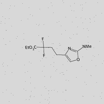 CCOC(=O)C(F)(F)CCc1coc(NC)n1